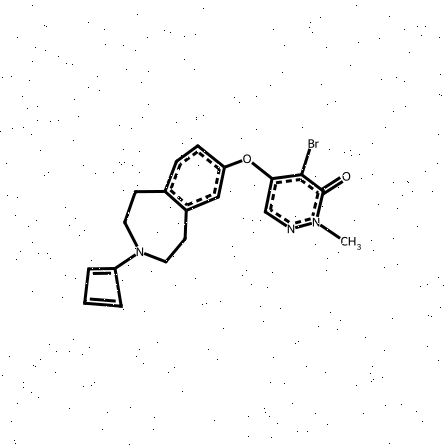 Cn1ncc(Oc2ccc3c(c2)CCN(C2=CC=C2)CC3)c(Br)c1=O